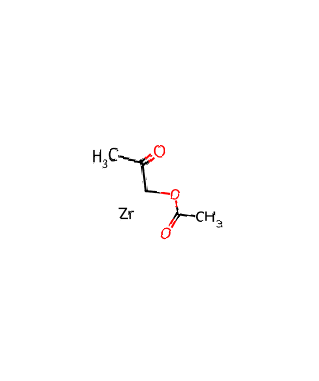 CC(=O)COC(C)=O.[Zr]